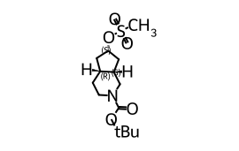 CC(C)(C)OC(=O)N1CC[C@@H]2C[C@H](OS(C)(=O)=O)C[C@@H]2C1